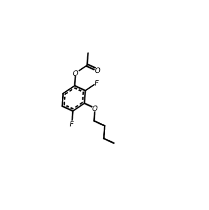 CCCCOc1c(F)ccc(OC(C)=O)c1F